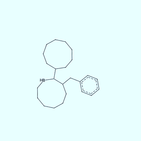 B1CCCCCCC(Cc2ccccc2)C1C1CCCCCCCC1